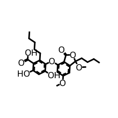 CCCCCc1c(Oc2cc(OC)cc3c2C(=O)OC3(CCCC)OC)c(O)cc(O)c1C(=O)O